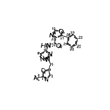 CC(=O)c1ncc(Cn2ncc(NC(=O)c3ncoc3-c3ccccc3)n2)o1